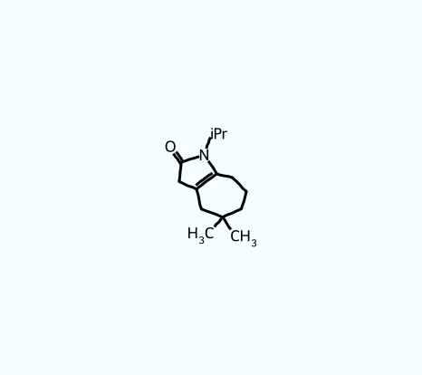 CC(C)N1C(=O)CC2=C1CCCC(C)(C)C2